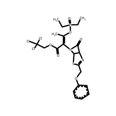 CCP(=O)(CC)OC(C)=C(C(=O)OCC(Cl)(Cl)Cl)N1C(=O)C2N=C(COc3ccccc3)SC21